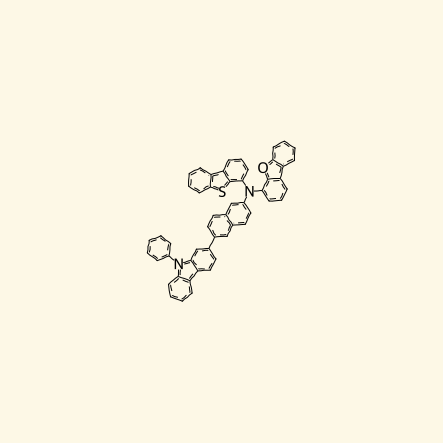 c1ccc(-n2c3ccccc3c3ccc(-c4ccc5cc(N(c6cccc7c6oc6ccccc67)c6cccc7c6sc6ccccc67)ccc5c4)cc32)cc1